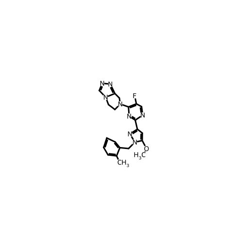 COc1cc(-c2ncc(F)c(N3CCn4cnnc4C3)n2)nn1Cc1ccccc1C